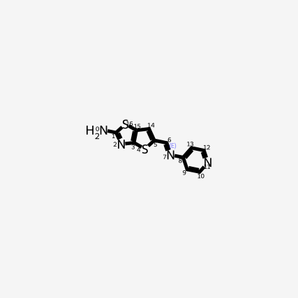 Nc1nc2sc(/C=N/c3ccncc3)cc2s1